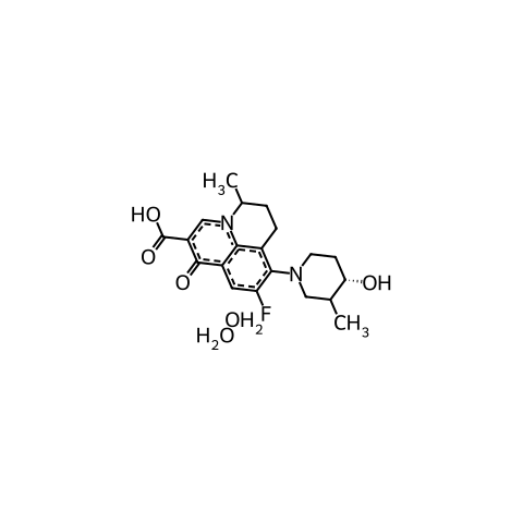 CC1CN(c2c(F)cc3c(=O)c(C(=O)O)cn4c3c2CCC4C)CC[C@@H]1O.O.O